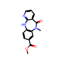 COC(=O)c1ccc2c(c1)N(C)C(=O)c1cccnc1N2